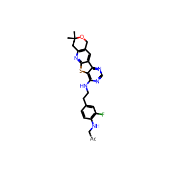 CC(=O)CNc1ccc(CCNc2ncnc3c2sc2nc4c(cc23)COC(C)(C)C4)cc1F